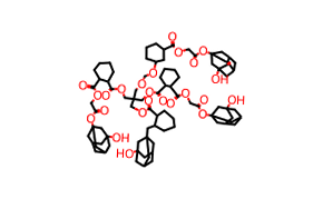 O=C(COC(=O)C1CCCC(OCOCC(COC(=O)C2CCCCC2CC23CC4CC(CC(O)(C4)C2)C3)(COC(=O)C2CCCCC2C(=O)OCC(=O)OC23CC4CC(CC(O)(C4)C2)C3)COC(=O)C2CCCCC2C(=O)OCC(=O)OC23CC4CC(CC(O)(C4)C2)C3)C1)OC12CC3CC(CC(O)(C3)C1)C2